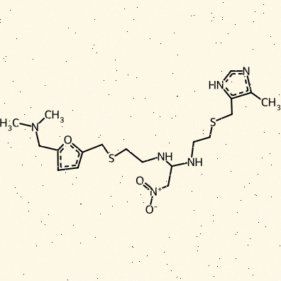 Cc1nc[nH]c1CSCCNC(C[N+](=O)[O-])NCCSCc1ccc(CN(C)C)o1